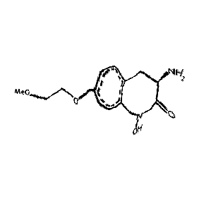 COCCOc1ccc2c(c1)N(O)C(=O)[C@H](N)C2